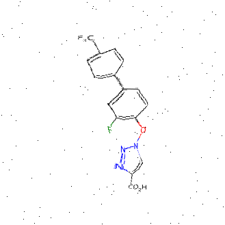 O=C(O)c1cn(Oc2ccc(-c3ccc(C(F)(F)F)cc3)cc2F)nn1